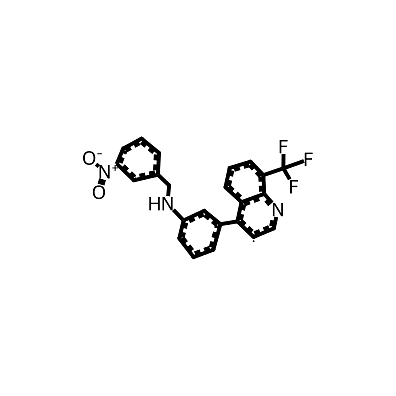 O=[N+]([O-])c1cccc(CNc2cccc(-c3[c]cnc4c(C(F)(F)F)cccc34)c2)c1